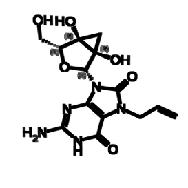 C=CCn1c(=O)n([C@@H]2O[C@H](CO)[C@]3(O)C[C@]23O)c2nc(N)[nH]c(=O)c21